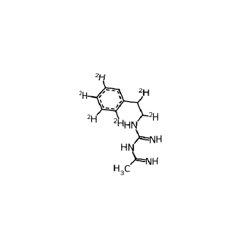 [2H]c1cc(C([2H])C([2H])NC(=N)NC(C)=N)c([2H])c([2H])c1[2H]